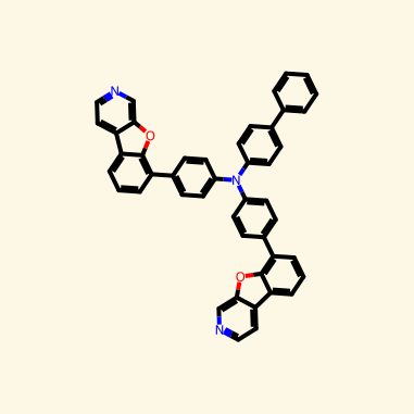 c1ccc(-c2ccc(N(c3ccc(-c4cccc5c4oc4cnccc45)cc3)c3ccc(-c4cccc5c4oc4cnccc45)cc3)cc2)cc1